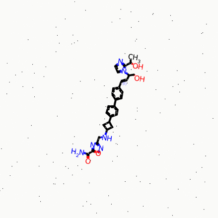 CC(O)c1nccn1C(/C=C/c1ccc(-c2ccc(C3CC(NCc4noc(C(N)=O)n4)C3)cc2)cc1)CO